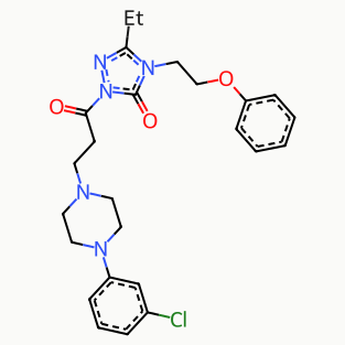 CCc1nn(C(=O)CCN2CCN(c3cccc(Cl)c3)CC2)c(=O)n1CCOc1ccccc1